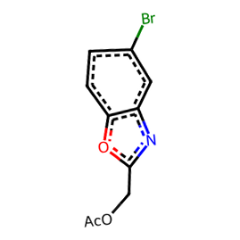 CC(=O)OCc1nc2cc(Br)ccc2o1